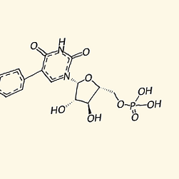 O=c1[nH]c(=O)n([C@@H]2O[C@H](COP(=O)(O)O)[C@@H](O)[C@@H]2O)cc1-c1ccccc1